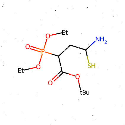 CCOP(=O)(OCC)C(CC(N)S)C(=O)OC(C)(C)C